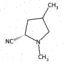 CC1C[C@@H](C#N)N(C)C1